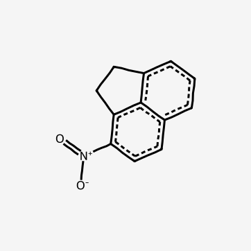 O=[N+]([O-])c1ccc2cccc3c2c1CC3